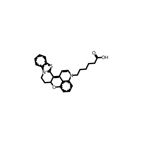 O=C(O)CCCCCN1C=CC2=C3c4sc5ccccc5[n+]4CCC3Oc3cccc1c32